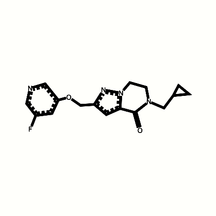 O=C1c2cc(COc3cncc(F)c3)nn2CCN1CC1CC1